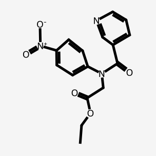 CCOC(=O)CN(C(=O)c1cccnc1)c1ccc([N+](=O)[O-])cc1